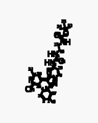 Cc1cccc(-c2nn3ccc(NC(=O)NCCNC(=O)OC(C)(C)C)nc3c2-c2cc(C)nc(Cl)c2)c1